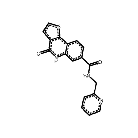 O=C(NCc1ccccn1)c1ccc2c(c1)[nH]c(=O)c1ccsc12